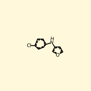 Clc1ccc(Nc2ccoc2)cc1